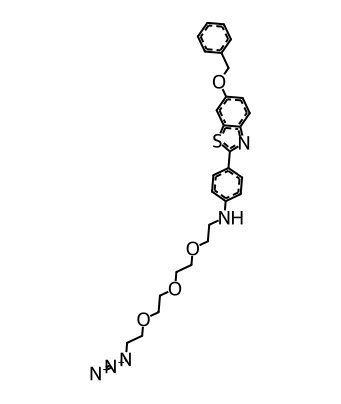 [N-]=[N+]=NCCOCCOCCOCCNc1ccc(-c2nc3ccc(OCc4ccccc4)cc3s2)cc1